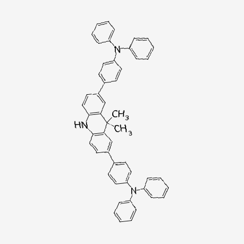 CC1(C)c2cc(-c3ccc(N(c4ccccc4)c4ccccc4)cc3)ccc2Nc2ccc(-c3ccc(N(c4ccccc4)c4ccccc4)cc3)cc21